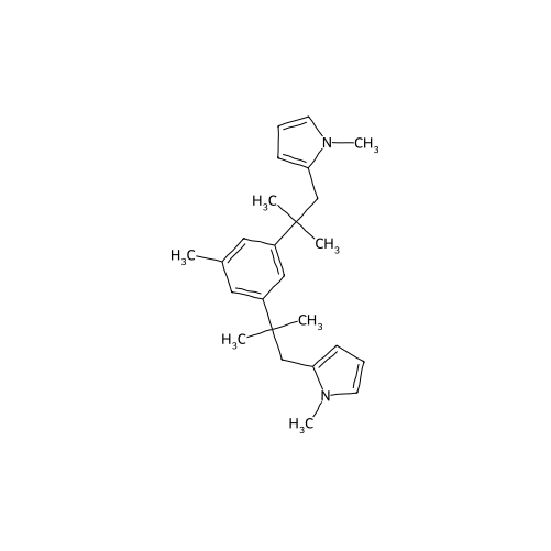 Cc1cc(C(C)(C)Cc2cccn2C)cc(C(C)(C)Cc2cccn2C)c1